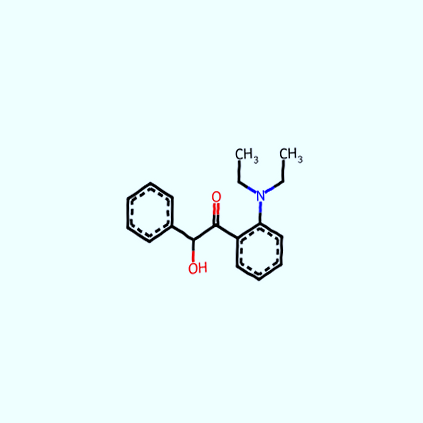 CCN(CC)c1ccccc1C(=O)C(O)c1ccccc1